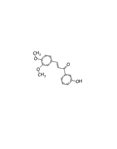 COc1ccc(/C=C/C(=O)c2cccc(O)c2)cc1OC